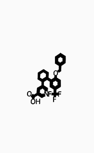 O=C(O)c1cncc(C2=C(c3cc(C(F)(F)F)ccc3OCc3ccccc3)CCCC2)c1